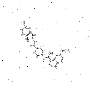 COc1ccc2nccc(C(O)CN3CCC(NCc4nc5cc(F)ccc5[nH]4)CC3)c2c1